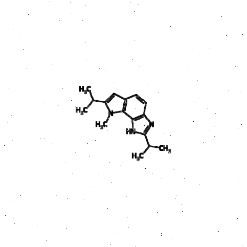 CC(C)c1nc2ccc3cc(C(C)C)n(C)c3c2[nH]1